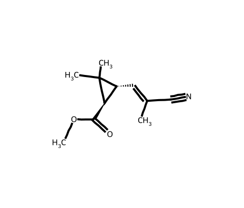 COC(=O)[C@@H]1[C@@H](/C=C(\C)C#N)C1(C)C